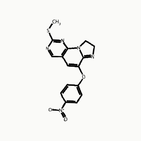 CSc1ncc2c(n1)N1CCN=C1C(Oc1ccc([N+](=O)[O-])cc1)=C2